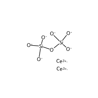 [Ce+3].[Ce+3].[O-][Si]([O-])([O-])O[Si]([O-])([O-])[O-]